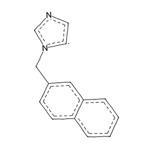 [c]1cncn1Cc1ccc2ccccc2c1